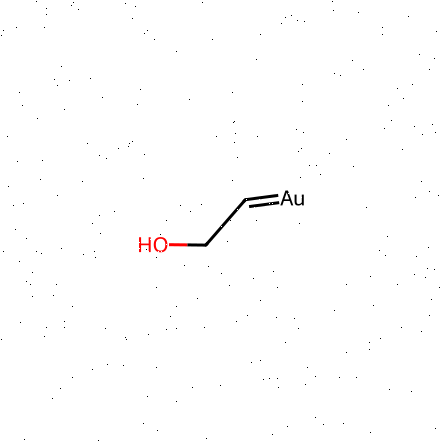 OC[CH]=[Au]